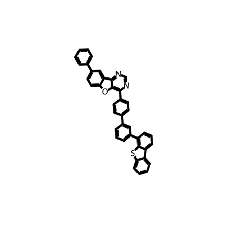 c1ccc(-c2ccc3oc4c(-c5ccc(-c6cccc(-c7cccc8c7sc7ccccc78)c6)cc5)ncnc4c3c2)cc1